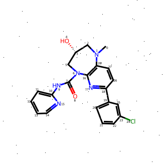 CN1C[C@@H](O)CN(C(=O)Nc2ccccn2)c2nc(-c3cccc(Cl)c3)ccc21